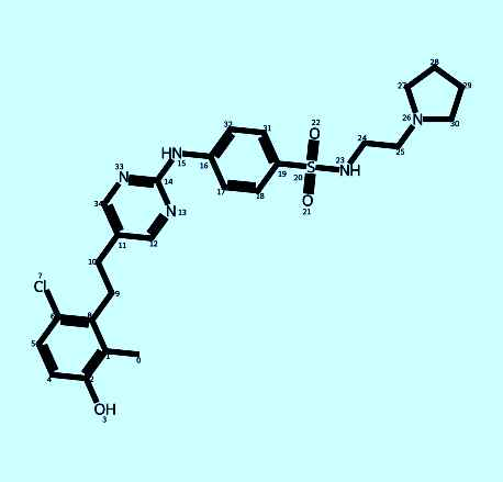 Cc1c(O)ccc(Cl)c1CCc1cnc(Nc2ccc(S(=O)(=O)NCCN3CCCC3)cc2)nc1